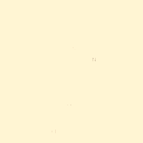 Clc1cccc2c1oc1cc3nc(-c4ccccc4)sc3cc12